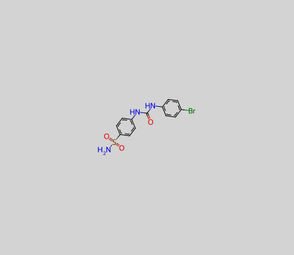 NS(=O)(=O)c1ccc(NC(=O)Nc2ccc(Br)cc2)cc1